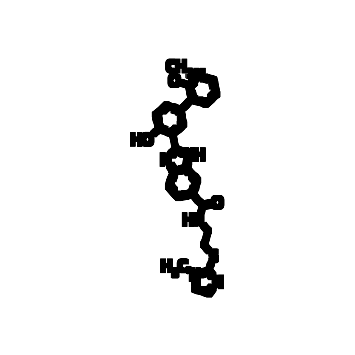 COc1ncccc1-c1ccc(O)c(-c2nc3ccc(C(=O)NCCSc4nccn4C)cc3[nH]2)c1